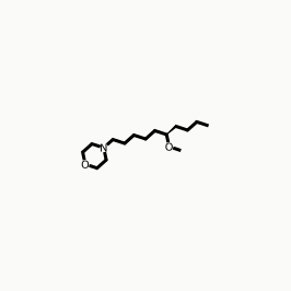 CCCC[C@H](CCCCCN1CCOCC1)OC